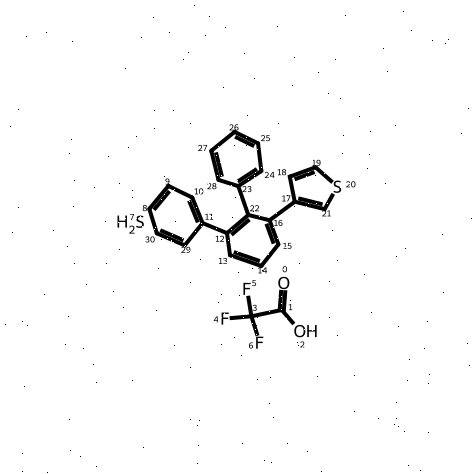 O=C(O)C(F)(F)F.S.c1ccc(-c2cccc(-c3ccsc3)c2-c2ccccc2)cc1